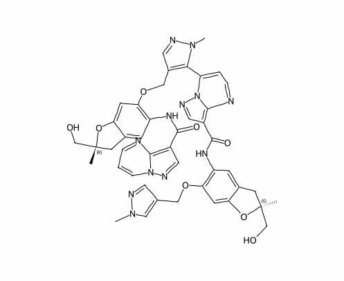 Cn1cc(COc2cc3c(cc2NC(=O)c2cnn4c(-c5c(COc6cc7c(cc6NC(=O)c6cnn8cccnc68)C[C@](C)(CO)O7)cnn5C)ccnc24)C[C@@](C)(CO)O3)cn1